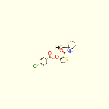 C#CC1(NC(=O)c2sccc2OCC(=O)c2ccc(Cl)cc2)CCCCC1